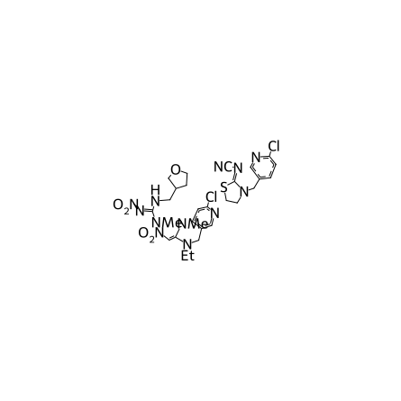 CCN(Cc1ccc(Cl)nc1)/C(=C/[N+](=O)[O-])NC.CN/C(=N/[N+](=O)[O-])NCC1CCOC1.N#C/N=C1\SCCN1Cc1ccc(Cl)nc1